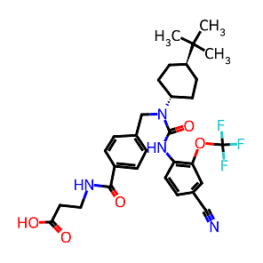 CC(C)(C)[C@H]1CC[C@H](N(Cc2ccc(C(=O)NCCC(=O)O)cc2)C(=O)Nc2ccc(C#N)cc2OC(F)(F)F)CC1